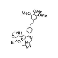 CCC(=O)C1OCCNC1c1cc2c(s1)-n1c(C)nnc1CN=C2c1ccc(CCc2cc(OC)c(OC)c(OC)c2)cc1